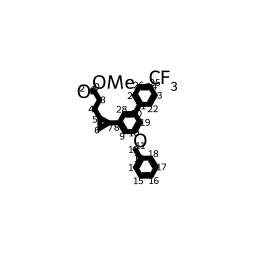 COC(=O)CCC1CC1c1cc(OCc2ccccc2)cc(-c2ccc(C(F)(F)F)cc2)c1